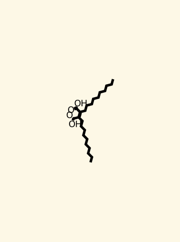 CCCCCCCCCC/C(C(=O)O)=C(\CCCCCCCCCC)C(=O)O